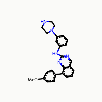 COc1ccc(-c2cccc3cnc(Nc4cccc(N5CCNCC5)c4)nc23)cc1